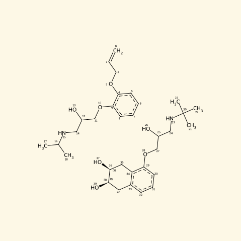 C=CCOc1ccccc1OCC(O)CNC(C)C.CC(C)(C)NCC(O)COc1cccc2c1C[C@H](O)[C@H](O)C2